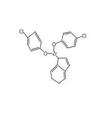 Clc1ccc([O][Zr]([O]c2ccc(Cl)cc2)[CH]2C=CC3=CCCC=C32)cc1